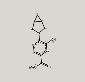 COC(=O)c1cnc(N2CC3CC3C2)c(C#N)c1